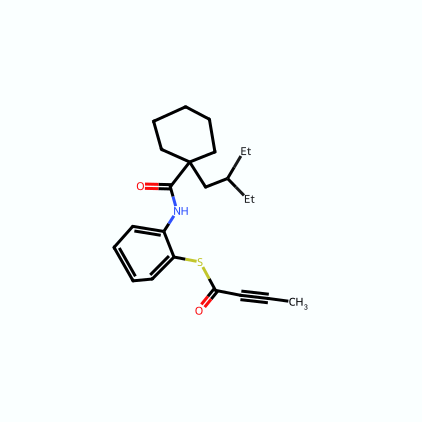 CC#CC(=O)Sc1ccccc1NC(=O)C1(CC(CC)CC)CCCCC1